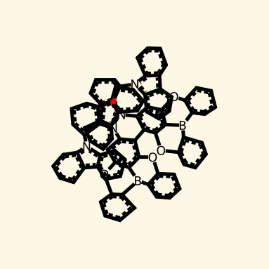 c1ccc2c(c1)Oc1cc(-n3c4ccccc4c4cccc(-n5c6ccccc6c6ccccc65)c43)c(-c3c(-n4c5ccccc5c5cccc(-n6c7ccccc7c7ccccc76)c54)cc4c5c3Oc3ccccc3B5c3ccccc3O4)c3c1B2c1ccccc1O3